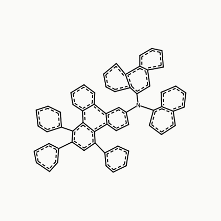 c1ccc(-c2cc(-c3ccccc3)c3c4ccc(N(c5cccc6ccccc56)c5cc6ccccc6c6ccccc56)cc4c4ccccc4c3c2-c2ccccc2)cc1